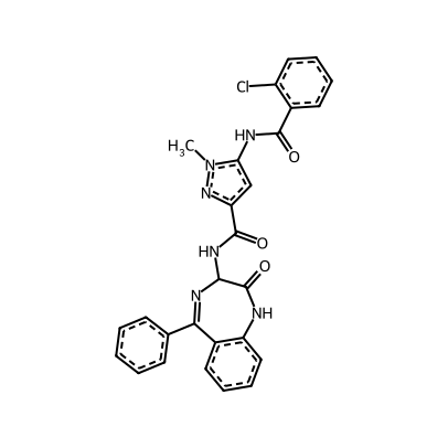 Cn1nc(C(=O)NC2N=C(c3ccccc3)c3ccccc3NC2=O)cc1NC(=O)c1ccccc1Cl